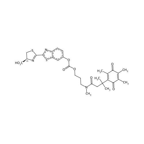 CC1=C(C)C(=O)C(C(C)(C)CC(=O)N(C)CCCOC(=O)Oc2ccc3nc(C4=N[C@@H](C(=O)O)CS4)sc3c2)=C(C)C1=O